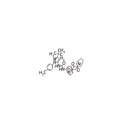 Cc1ccc(-n2nc(C(C)(C)C)cc2NC(=O)Nc2ccc(CC3CC4CCC(C3)N4C(=O)C(=O)c3ccco3)cc2)cc1